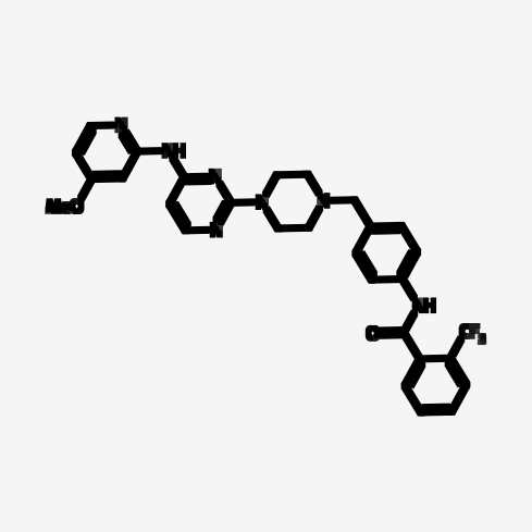 COc1ccnc(Nc2ccnc(N3CCN(Cc4ccc(NC(=O)c5ccccc5C(F)(F)F)cc4)CC3)n2)c1